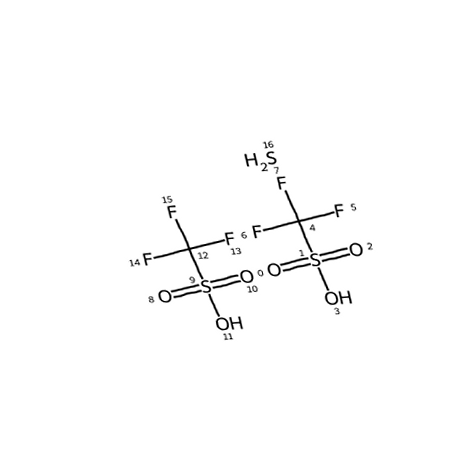 O=S(=O)(O)C(F)(F)F.O=S(=O)(O)C(F)(F)F.S